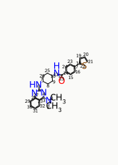 CN(C)c1nc(N[C@H]2CC[C@@H](NC(=O)c3ccc(-c4cccs4)cc3)CC2)nc2ccccc12